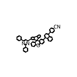 N#Cc1ccc(-c2ccc(-c3ccc4c(c3)C3(c5ccccc5O4)c4ccccc4-c4ccc(-c5cc(-c6ccccc6)nc(-c6ccccc6)n5)cc43)c3ccccc23)cc1